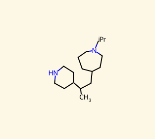 CC(CC1CCCN(C(C)C)CC1)C1CCNCC1